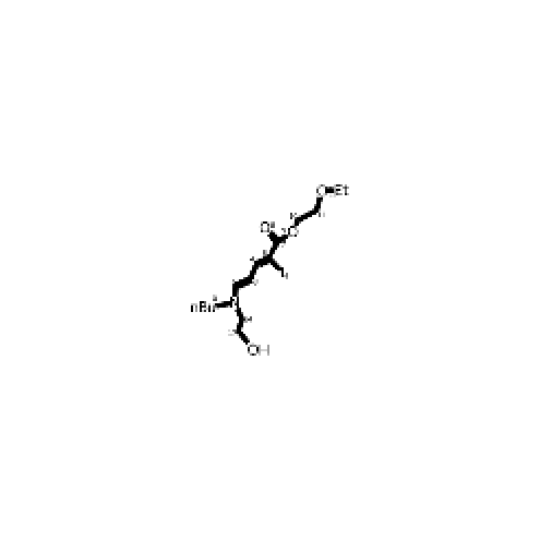 CCCCN(/C=C/C=C(\I)C(=O)OCCOCC)CCO